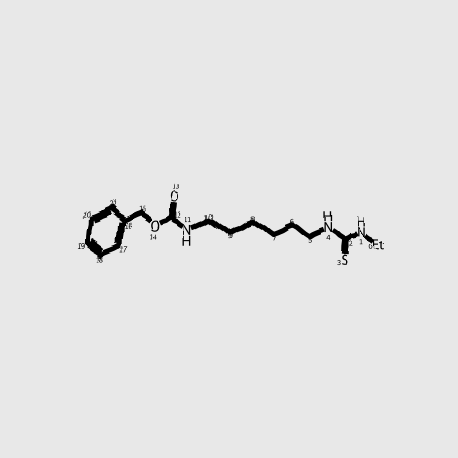 CCNC(=S)NCCCCCCNC(=O)OCc1ccccc1